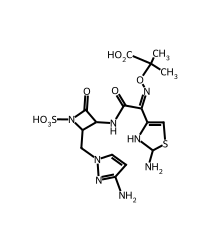 CC(C)(O/N=C(\C(=O)NC1C(=O)N(S(=O)(=O)O)C1Cn1ccc(N)n1)C1=CSC(N)N1)C(=O)O